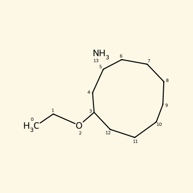 CCOC1CCCCCCCCC1.N